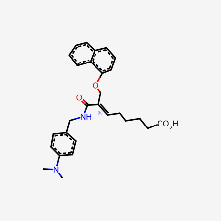 CN(C)c1ccc(CNC(=O)/C(=C/CCCCC(=O)O)COc2cccc3ccccc23)cc1